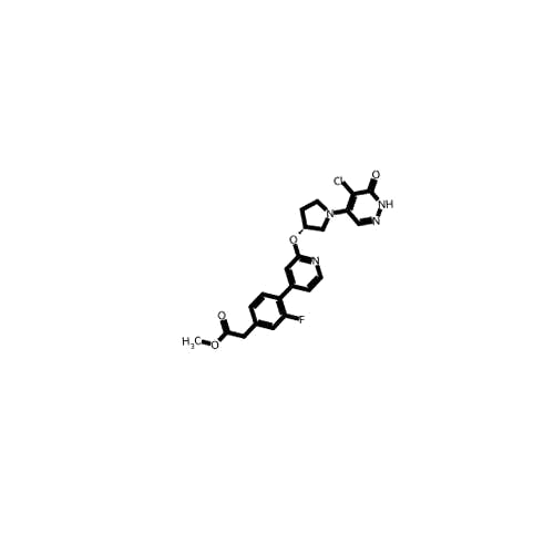 COC(=O)Cc1ccc(-c2ccnc(O[C@@H]3CCN(c4cn[nH]c(=O)c4Cl)C3)c2)c(F)c1